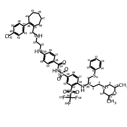 CC1CN(CC[C@H](CSc2ccccc2)Nc2ccc(S(=O)(=O)NC(=O)c3ccc(NCCNCC4=C(c5ccc(Cl)cc5)CCCCC4)cc3)cc2S(=O)(=O)C(F)(F)F)CC(C)O1